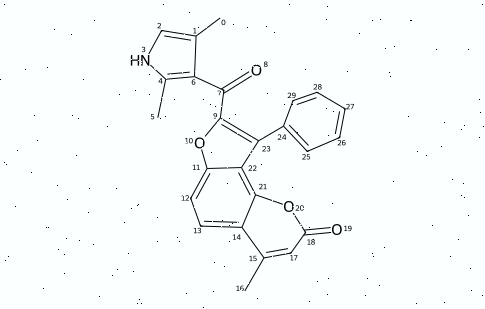 Cc1c[nH]c(C)c1C(=O)c1oc2ccc3c(C)cc(=O)oc3c2c1-c1ccccc1